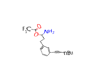 CCCCC#Cc1cccc(CCC(N)OC(=O)C(F)(F)F)c1